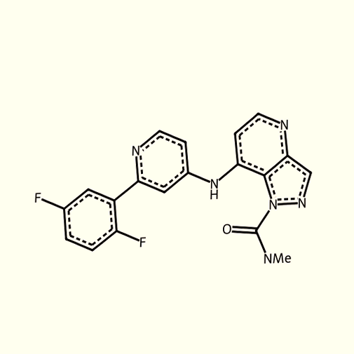 CNC(=O)n1ncc2nccc(Nc3ccnc(-c4cc(F)ccc4F)c3)c21